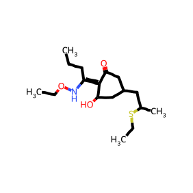 CCCC(NOCC)=C1C(=O)CC(CC(C)SCC)CC1O